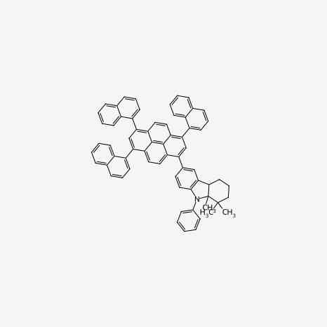 CC1(C)CCCC2c3cc(-c4cc(-c5cccc6ccccc56)c5ccc6c(-c7cccc8ccccc78)cc(-c7cccc8ccccc78)c7ccc4c5c76)ccc3N(c3ccccc3)C21C